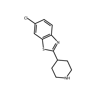 Clc1ccc2nc(C3CCNCC3)sc2c1